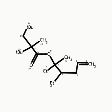 C=CCC(CC)C(C)(CC)OC(=O)C(C)(CC(C)(C)C)C(C)(C)C